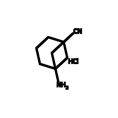 Cl.N#CC12CCCC(N)(C1)C2